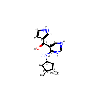 CC[C@H]1C[C@@H](Nc2ncncc2C(=O)c2cc[nH]c2)C[C@@H]1C